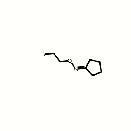 ICCON=C1CCCC1